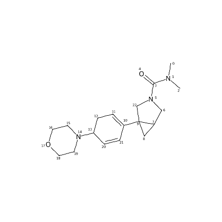 CN(C)C(=O)N1CC2CC2(C2=CCC(N3CCOCC3)C=C2)C1